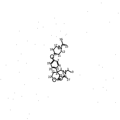 CCN(CC1(c2ccc(OC3CCN(C(C)C)CC3)cc2)CCOCC1)C(C)=O